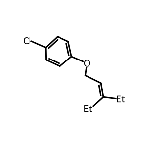 CCC(=CCOc1ccc(Cl)cc1)CC